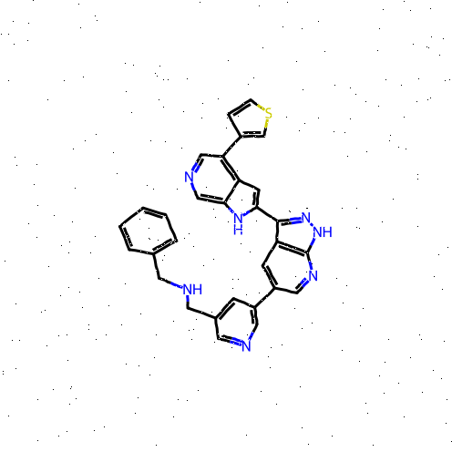 c1ccc(CNCc2cncc(-c3cnc4[nH]nc(-c5cc6c(-c7ccsc7)cncc6[nH]5)c4c3)c2)cc1